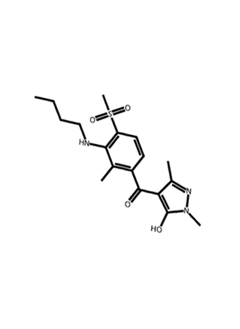 CCCCNc1c(S(C)(=O)=O)ccc(C(=O)c2c(C)nn(C)c2O)c1C